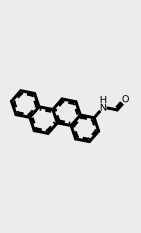 O=CNc1cccc2c1ccc1c3ccccc3ccc21